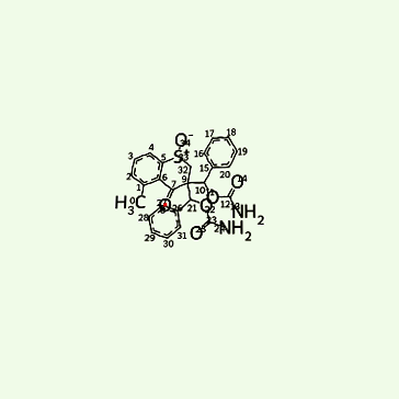 Cc1cccc2c1C(=O)C(C(OC(N)=O)c1ccccc1)(C(OC(N)=O)c1ccccc1)C[S+]2[O-]